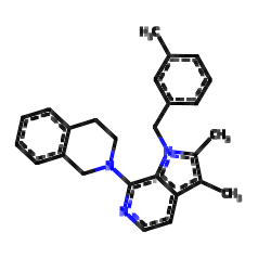 Cc1cccc(Cn2c(C)c(C)c3ccnc(N4CCc5ccccc5C4)c32)c1